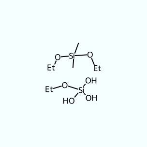 CCO[Si](C)(C)OCC.CCO[Si](O)(O)O